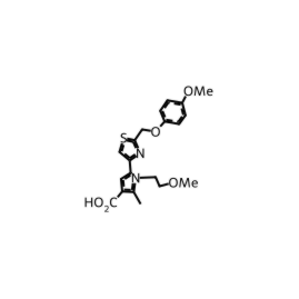 COCCn1c(-c2csc(COc3ccc(OC)cc3)n2)cc(C(=O)O)c1C